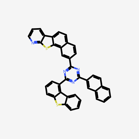 c1ccc2cc(-c3nc(-c4ccc5ccc6c7cccnc7sc6c5c4)nc(-c4cccc5sc6ccccc6c45)n3)ccc2c1